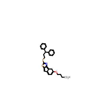 O=C(O)CCCOC1=CC=C2C=c3sc(SCCC(c4ccccc4)c4ccccc4)nc3=C2C1